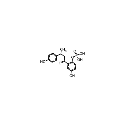 CC(CC(=O)c1cc(O)ccc1OP(=O)(O)O)c1ccc(O)cc1